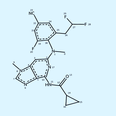 CN(c1cc2c(ncn2C)c(NC(=O)C2CC2)n1)c1c(F)cc(C#N)cc1CC(F)F